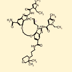 CCC1N=C(C)C=C1C(=O)Nc1nc2cc(C(N)=O)cc3c2n1C/C=C/Cn1c(NC(=O)c2cc(C)nn2CC)nc2cc(C(=O)NCCCN4CCOCC4(C)C)cc(c21)OCCCO3